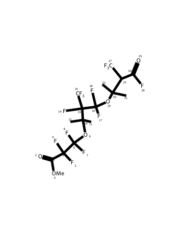 COC(=O)C(F)(F)C(F)(F)OC(C)(C)C(F)(C(F)(F)F)C(F)(F)OC(C)(C)C(C(=O)F)C(F)(F)F